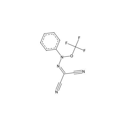 N#CC(C#N)=NN(OC(F)(F)F)c1ccccc1